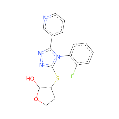 OC1OCCC1Sc1nnc(-c2cccnc2)n1-c1ccccc1F